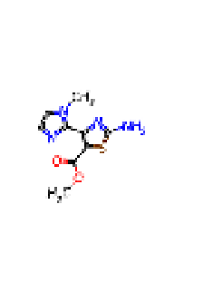 COC(=O)c1sc(N)nc1-c1nccn1C